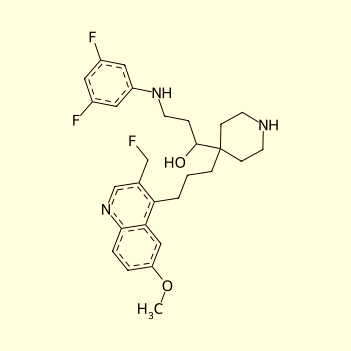 COc1ccc2ncc(CF)c(CCCC3(C(O)CCNc4cc(F)cc(F)c4)CCNCC3)c2c1